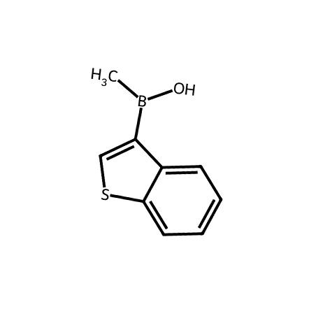 CB(O)c1csc2ccccc12